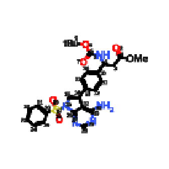 COC(=O)CC(NC(=O)OC(C)(C)C)c1ccc(-c2cn(S(=O)(=O)c3ccccc3)c3ncnc(N)c23)cc1